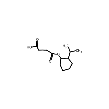 CC(C)C1CCCCC1OC(=O)CCC(=O)O